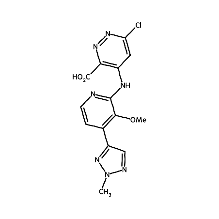 COc1c(-c2cnn(C)n2)ccnc1Nc1cc(Cl)nnc1C(=O)O